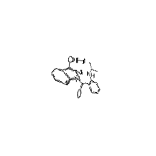 CC(C)Nc1ccccc1C(=O)n1nc(O)c2ccccc21